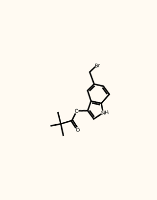 CC(C)(C)C(=O)Oc1c[nH]c2ccc(CBr)cc12